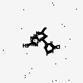 Cc1cc(-c2cccc(Cl)c2)n2nc(S)nc2n1